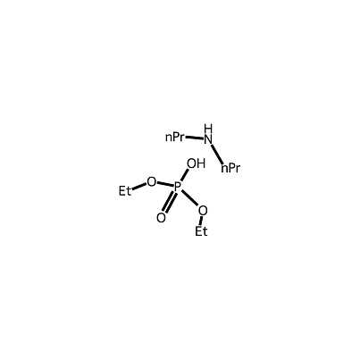 CCCNCCC.CCOP(=O)(O)OCC